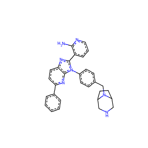 Nc1ncccc1-c1nc2ccc(-c3ccccc3)nc2n1-c1ccc(CN2C3CCC2CNC3)cc1